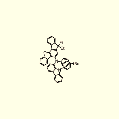 CCC1(CC)c2ccccc2-c2c1cc(N(c1ccc(C(C)(C)C)cc1)c1cccc3c4ccccc4n(-c4ccccc4)c13)c1c2oc2ccccc21